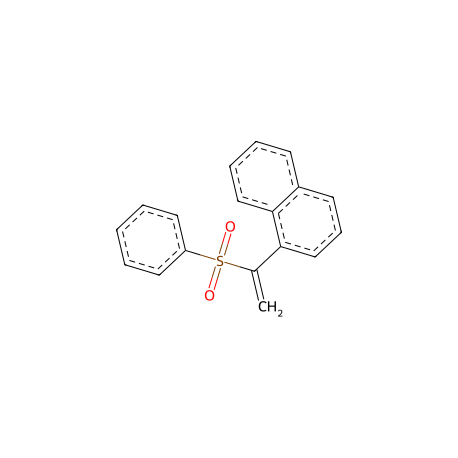 C=C(c1cccc2ccccc12)S(=O)(=O)c1ccccc1